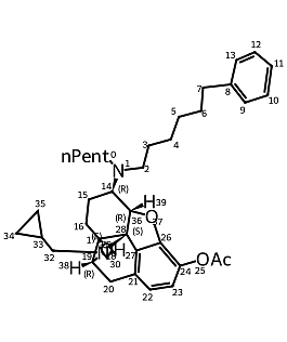 CCCCCN(CCCCCCc1ccccc1)[C@@H]1CC[C@@]2(O)[C@H]3Cc4ccc(OC(C)=O)c5c4[C@@]2(CCN3CC2CC2)[C@H]1O5